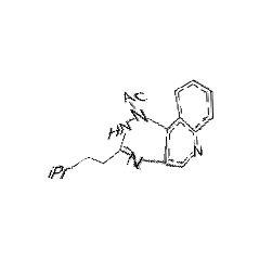 CC(=O)N1NC(CCC(C)C)=Nc2cnc3ccccc3c21